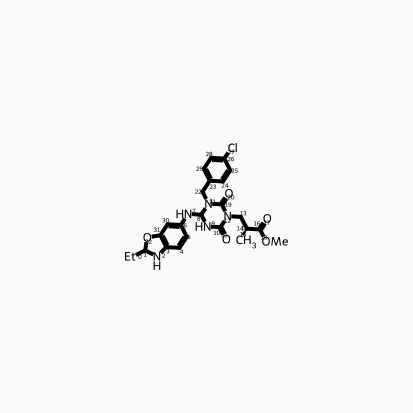 CCC1Nc2ccc(NC3NC(=O)N(C[C@H](C)C(=O)OC)C(=O)N3Cc3ccc(Cl)cc3)cc2O1